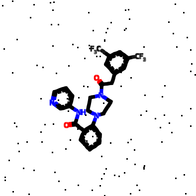 O=C(Nc1cccnc1)c1ccccc1N1CCN(C(=O)Cc2cc(C(F)(F)F)cc(C(F)(F)F)c2)CC1